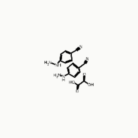 N#Cc1ccc(NN)cc1.N#Cc1ccc(NN)cc1.O=C(O)C(=O)O